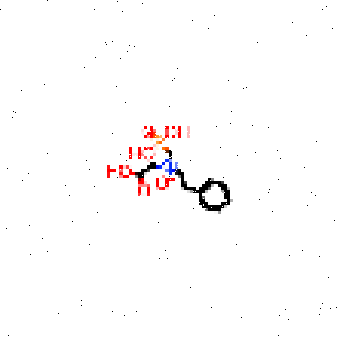 O=C(O)C[N+]([O-])(CCc1ccccc1)CP(=O)(O)O